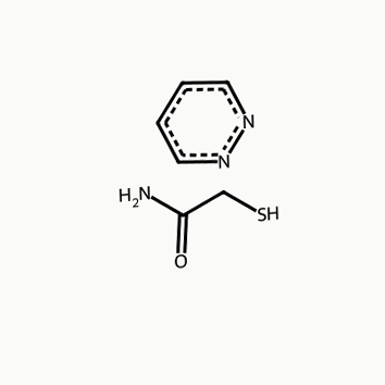 NC(=O)CS.c1ccnnc1